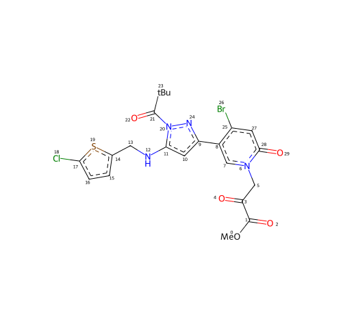 COC(=O)C(=O)Cn1cc(-c2cc(NCc3ccc(Cl)s3)n(C(=O)C(C)(C)C)n2)c(Br)cc1=O